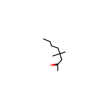 [CH2]C(C)(CCCC)CC(C)=O